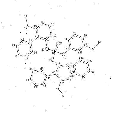 CCc1cccc(OP(=O)(Oc2cccc(CC)c2-c2ccccc2)Oc2cccc(CC)c2-c2ccccc2)c1-c1ccccc1